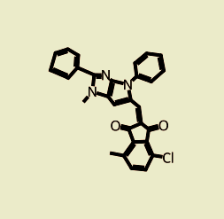 Cc1ccc(Cl)c2c1C(=O)/C(=C\c1cc3c(nc(-c4ccccc4)n3C)n1-c1ccccc1)C2=O